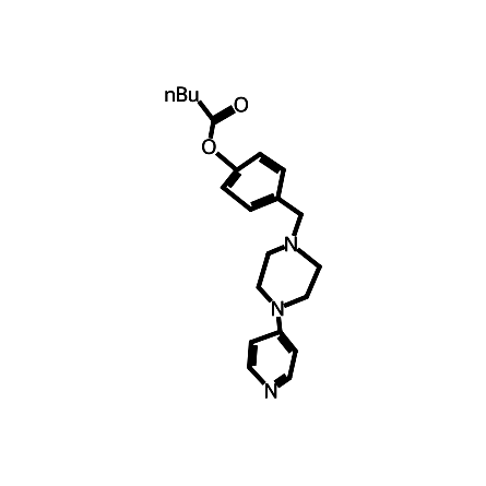 CCCCC(=O)Oc1ccc(CN2CCN(c3ccncc3)CC2)cc1